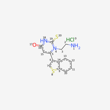 Cl.NCCn1c(-c2csc3ccccc23)cc(=O)[nH]c1=S